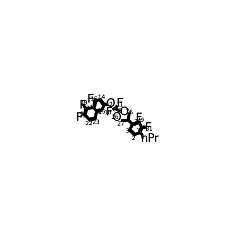 CCCc1ccc(C2COC(C(F)(F)Oc3cc(F)c4c(F)c(F)ccc4c3)OC2)c(F)c1F